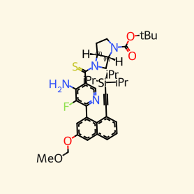 COCOc1cc(-c2ncc(C(=S)N3C[C@@H]4[C@H]3CCN4C(=O)OC(C)(C)C)c(N)c2F)c2c(C#C[Si](C(C)C)(C(C)C)C(C)C)cccc2c1